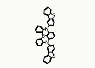 c1ccc2c(c1)B1c3ccccc3N(c3ccc4sc5ccccc5c4c3)c3cccc(c31)N2c1ccc2sc3ccccc3c2c1